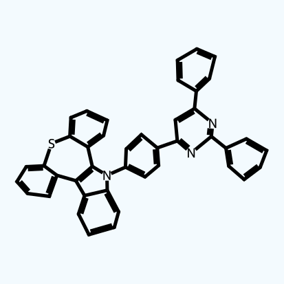 c1ccc(-c2cc(-c3ccc(-n4c5c(c6ccccc64)-c4ccccc4Sc4ccccc4-5)cc3)nc(-c3ccccc3)n2)cc1